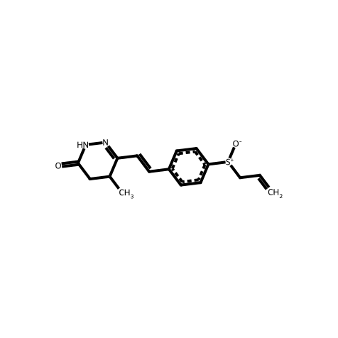 C=CC[S+]([O-])c1ccc(C=CC2=NNC(=O)CC2C)cc1